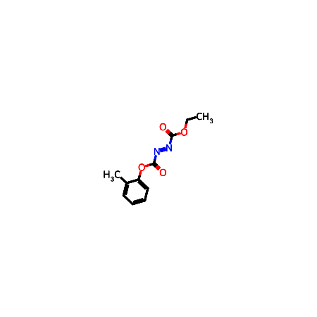 CCOC(=O)/N=N/C(=O)Oc1ccccc1C